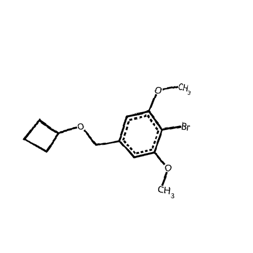 COc1cc(COC2CCC2)cc(OC)c1Br